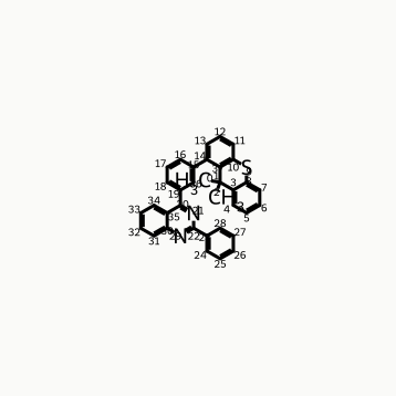 CC1(C)c2ccccc2Sc2cccc(-c3cccc(-c4nc(-c5ccccc5)nc5ccccc45)c3)c21